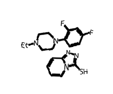 CCN1CCN(c2ccc(F)cc2F)CC1.Sc1nnc2ccccn12